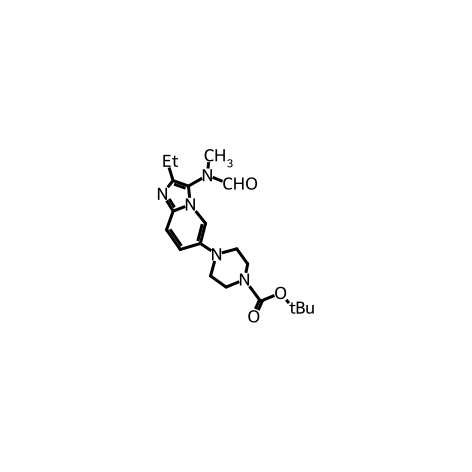 CCc1nc2ccc(N3CCN(C(=O)OC(C)(C)C)CC3)cn2c1N(C)C=O